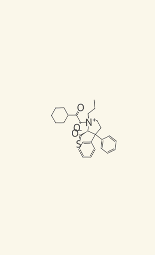 CCC[N+]1(C(=O)C(=O)C2CCCCC2)CCC(c2ccccc2)(c2ccccc2)[C@H]1C([O-])=S